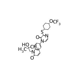 CC(C)(O)Cn1c(=O)ccc2cc(-n3ccnc(SC4CCC(OC(F)(F)F)CC4)c3=O)ccc21